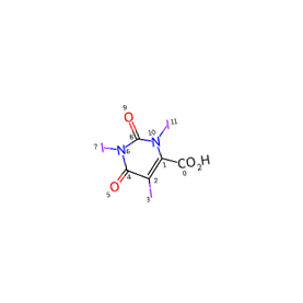 O=C(O)c1c(I)c(=O)n(I)c(=O)n1I